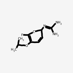 CC(C)OC1=C(F)CC(N=C(N)N)C=C1